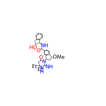 CCC1(CC)CC(=O)N([C@@H]2CC(OC)c3ccc(C(=O)N[C@@H]4c5ccccc5C[C@H]4O)cc32)C(=N)N1